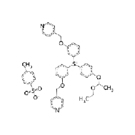 CCOC(C)Oc1ccc([S+](c2cccc(OCc3ccncc3)c2)c2cccc(OCc3ccncc3)c2)cc1.Cc1ccc(S(=O)(=O)[O-])cc1